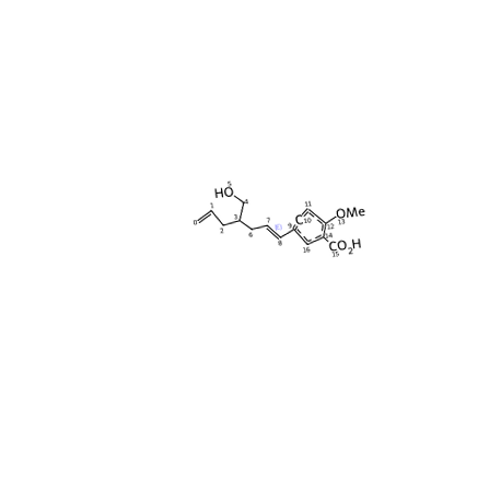 C=CCC(CO)C/C=C/c1ccc(OC)c(C(=O)O)c1